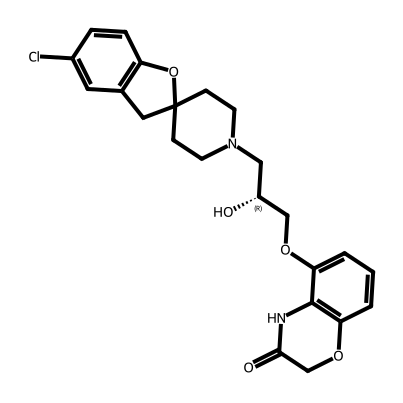 O=C1COc2cccc(OC[C@H](O)CN3CCC4(CC3)Cc3cc(Cl)ccc3O4)c2N1